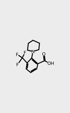 O=C(O)c1cccc(C(F)(F)F)c1N1CCCCC1